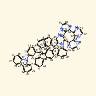 c1ccc([Si](c2ccccc2)(c2cccc(-n3c4ccccc4c4ccccc43)c2)c2cccc([Si](c3ccccc3)(c3ccccc3)c3cnc4c(n3)-c3nccnc3-c3nccnc3-c3nccnc3-4)c2)cc1